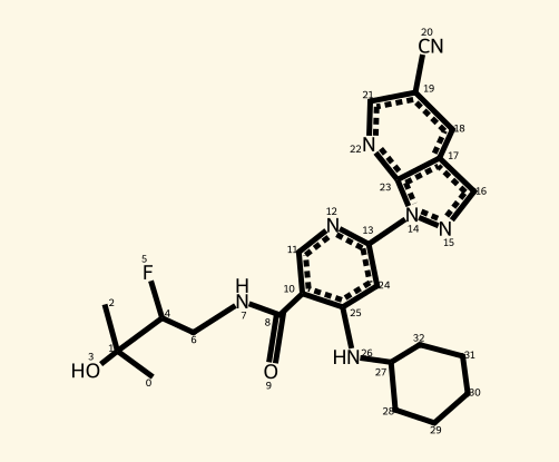 CC(C)(O)C(F)CNC(=O)c1cnc(-n2ncc3cc(C#N)cnc32)cc1NC1CCCCC1